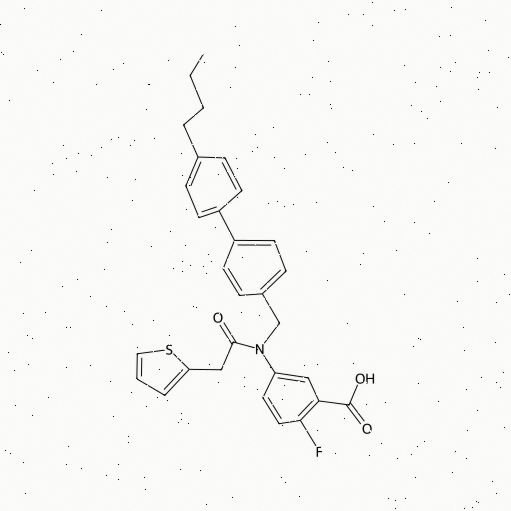 CCCCc1ccc(-c2ccc(CN(C(=O)Cc3cccs3)c3ccc(F)c(C(=O)O)c3)cc2)cc1